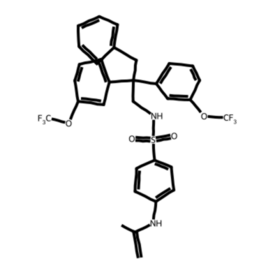 C=C(C)Nc1ccc(S(=O)(=O)NCC(Cc2ccccc2)(c2cccc(OC(F)(F)F)c2)c2cccc(OC(F)(F)F)c2)cc1